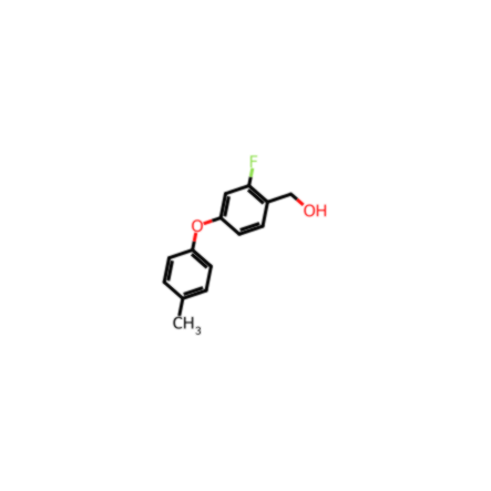 Cc1ccc(Oc2ccc(CO)c(F)c2)cc1